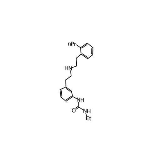 CCCc1ccccc1CCNCCc1cccc(NC(=O)NCC)c1